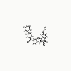 CCOc1ccc2c(c1)c(=O)n(C[C@H]1CC[C@H](C(=O)N3CCN(c4ccncc4)CC3)CC1)c(=O)n2C